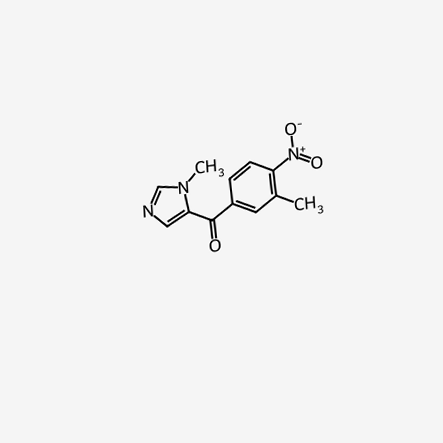 Cc1cc(C(=O)c2cncn2C)ccc1[N+](=O)[O-]